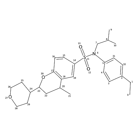 CCc1ccc(N(CC(C)C)S(=O)(=O)c2ccc3c(c2)C(C)CC(C2CCOCC2)O3)cc1